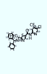 CC(NC(c1ccccc1)c1ccccc1)c1ncc(C(=O)Nc2cc(C(F)(F)F)c(Cl)cn2)s1